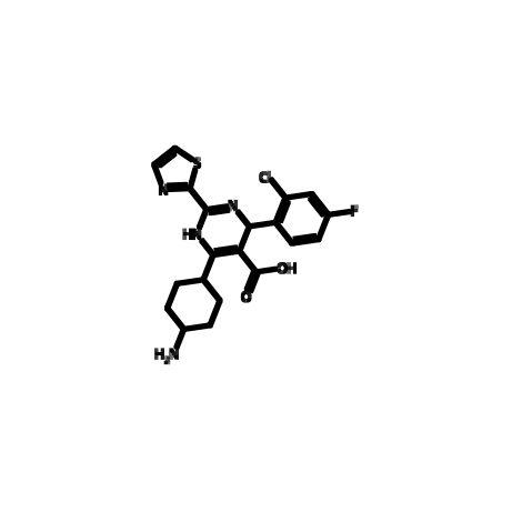 NC1CCC(C2=C(C(=O)O)C(c3ccc(F)cc3Cl)N=C(c3nccs3)N2)CC1